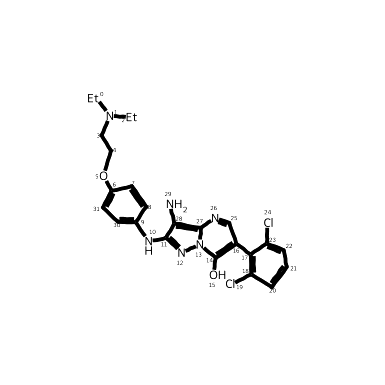 CCN(CC)CCOc1ccc(Nc2nn3c(O)c(-c4c(Cl)cccc4Cl)cnc3c2N)cc1